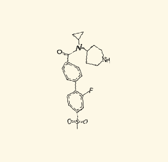 CS(=O)(=O)c1ccc(-c2ccc(C(=O)N(C3CCNCC3)C3CC3)cc2)c(F)c1